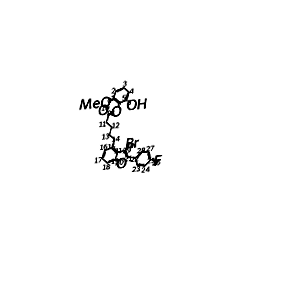 COc1cccc(O)c1OC(=O)CCCCc1cccc2oc(-c3ccc(F)cc3)c(Br)c12